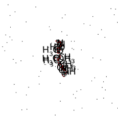 COC(C)(C#Cc1ccc2c(c1)N(C)C(=O)[C@H](NC(=O)c1n[nH]c(Cc3ccccc3)n1)CO2)CCC(C)(O)C#Cc1ccc2c(c1)OCC(NC(=O)c1ncn(Cc3ccccc3)n1)C(=O)N2C